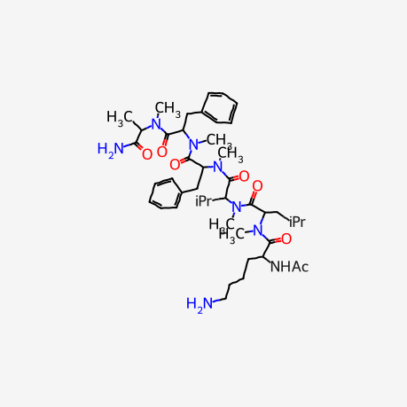 CC(=O)NC(CCCCN)C(=O)N(C)C(CC(C)C)C(=O)N(C)C(C(=O)N(C)C(Cc1ccccc1)C(=O)N(C)C(Cc1ccccc1)C(=O)N(C)C(C)C(N)=O)C(C)C